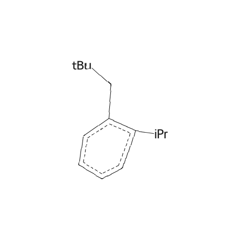 CC(C)c1ccccc1CC(C)(C)C